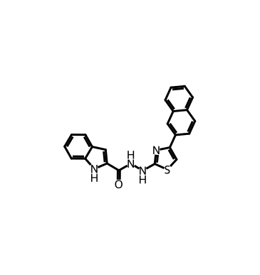 O=C(NNc1nc(-c2ccc3ccccc3c2)cs1)c1cc2ccccc2[nH]1